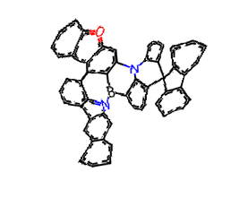 c1ccc2c(c1)-c1ccccc1C21c2ccccc2N2c3cc4oc5ccccc5c4c4c3B(c3cccc1c32)n1c2cc3ccccc3cc2c2cccc-4c21